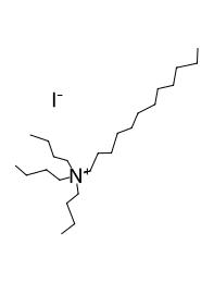 CCCCCCCCCCCC[N+](CCCC)(CCCC)CCCC.[I-]